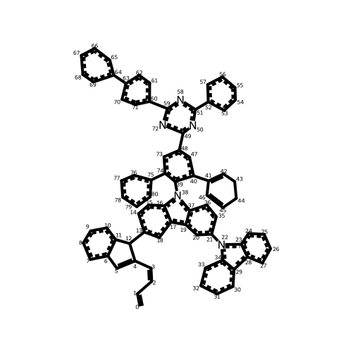 C=C/C=C\C1=Cc2ccccc2C1c1ccc2c(c1)c1cc(-n3c4ccccc4c4ccccc43)ccc1n2-c1c(C2=CCCC=C2)cc(-c2nc(-c3ccccc3)nc(-c3ccc(-c4ccccc4)cc3)n2)cc1-c1ccccc1